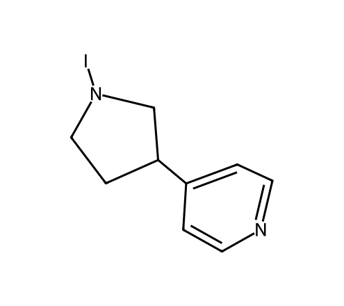 IN1CCC(c2ccncc2)C1